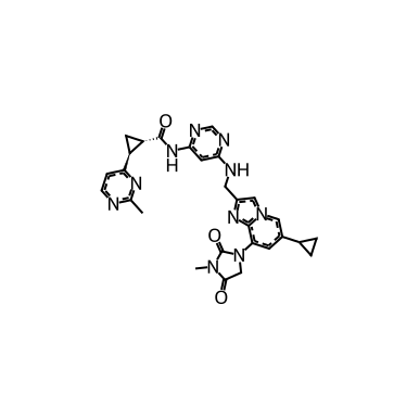 Cc1nccc([C@H]2C[C@@H]2C(=O)Nc2cc(NCc3cn4cc(C5CC5)cc(N5CC(=O)N(C)C5=O)c4n3)ncn2)n1